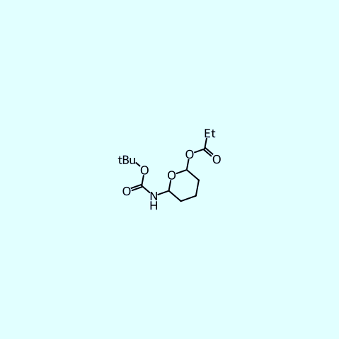 CCC(=O)OC1CCCC(NC(=O)OC(C)(C)C)O1